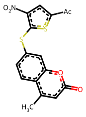 CC(=O)c1cc([N+](=O)[O-])c(Sc2ccc3c(C)cc(=O)oc3c2)s1